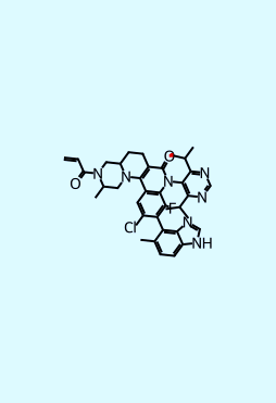 C=CC(=O)N1CC2CCc3c(c4cc(Cl)c(-c5c(C)ccc6[nH]cnc56)c(F)c4n(-c4c(C(C)C)ncnc4C(C)C)c3=O)N2CC1C